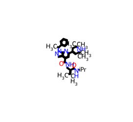 CC(C)=C(CNC(=O)c1cc(C2=CC(C)(C)NC(C)(C)C2)nc2c1cnn2C(C)c1ccccc1)C(=O)NC(C)C